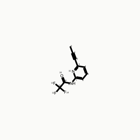 CC#Cc1cccc(NC(=O)C(F)(F)F)n1